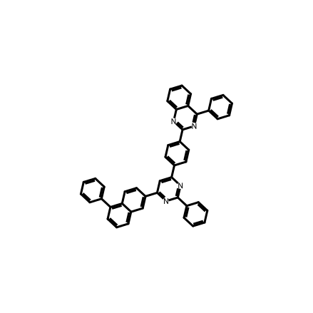 c1ccc(-c2nc(-c3ccc(-c4nc(-c5ccccc5)c5ccccc5n4)cc3)cc(-c3ccc4c(-c5ccccc5)cccc4c3)n2)cc1